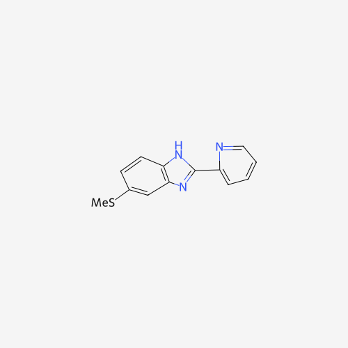 CSc1ccc2[nH]c(-c3ccccn3)nc2c1